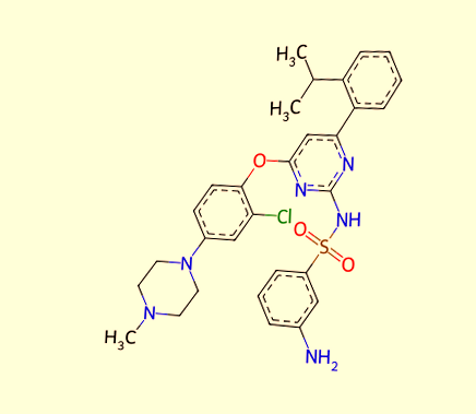 CC(C)c1ccccc1-c1cc(Oc2ccc(N3CCN(C)CC3)cc2Cl)nc(NS(=O)(=O)c2cccc(N)c2)n1